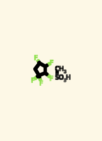 CS(=O)(=O)O.FC1CC(F)(F)C(F)C1F